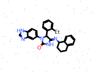 CCc1ccccc1C1C(=NC2CCCc3ccccc32)NC(=O)N1c1ccc2[nH]cnc2c1